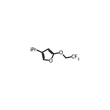 CC(C)c1coc(OCC(F)(F)F)c1